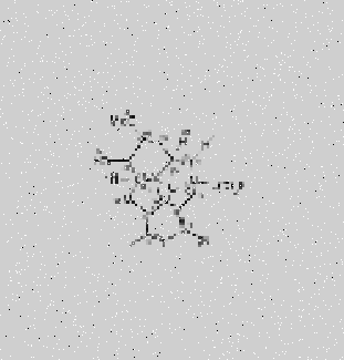 CCOC(=O)N1CC[C@]23c4c5c(Br)cc(C)c4O[C@H]2C(O)[C@H](OC)C[C@H]3[C@H]1C5